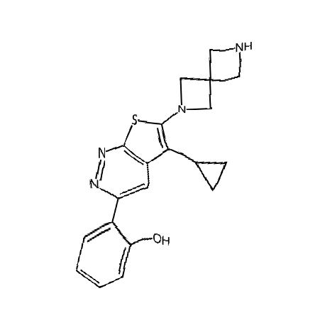 Oc1ccccc1-c1cc2c(C3CC3)c(N3CC4(CNC4)C3)sc2nn1